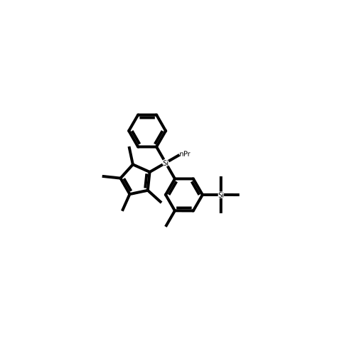 CCC[Si](C1=C(C)C(C)=C(C)C1C)(c1ccccc1)c1cc(C)cc([Si](C)(C)C)c1